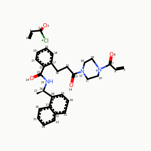 C=CC(=O)Cl.C=CC(=O)N1CCN(C(=O)CCc2ccccc2C(=O)N[C@H](C)c2cccc3ccccc23)CC1